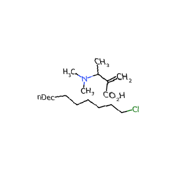 C=C(C(=O)O)C(C)N(C)C.CCCCCCCCCCCCCCCCCl